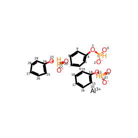 O=[PH]([O-])Oc1ccccc1.O=[PH]([O-])Oc1ccccc1.O=[PH]([O-])Oc1ccccc1.[Al+3]